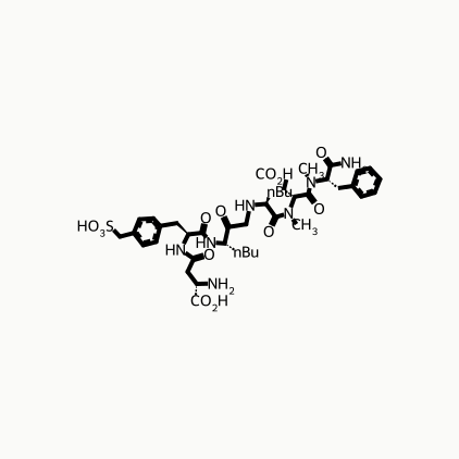 CCCC[C@H](NC(=O)[C@H](Cc1ccc(CS(=O)(=O)O)cc1)NC(=O)C[C@H](N)C(=O)O)C(=O)CN[C@@H](CCCC)C(=O)N(C)[C@H](CC(=O)O)C(=O)N(C)[C@@H](Cc1ccccc1)C(N)=O